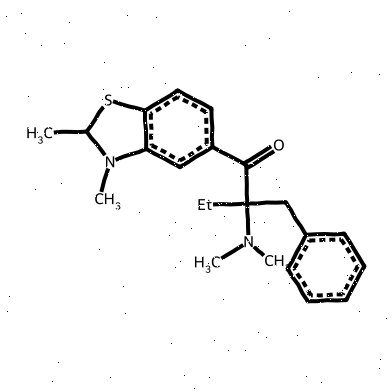 CCC(Cc1ccccc1)(C(=O)c1ccc2c(c1)N(C)C(C)S2)N(C)C